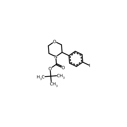 CC(C)(C)OC(=O)N1CCOCC1c1ccc(I)cc1